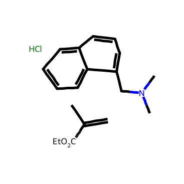 C=C(C)C(=O)OCC.CN(C)Cc1cccc2ccccc12.Cl